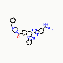 N=C(N)c1ccc2nc(C(Cc3ccc(C(=O)N4CCN(Cc5ccccc5)CC4)cc3)c3nc4ccccc4[nH]3)[nH]c2c1